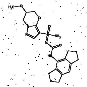 COC1COc2c(S(N)(=O)=NC(=O)Nc3c4c(cc5c3CCC5)CCC4)cnn2C1